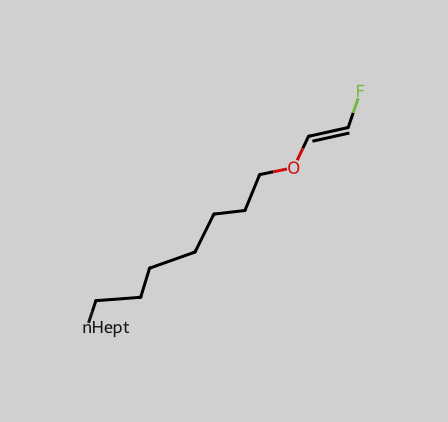 CCCCCCCCCCCCCCOC=CF